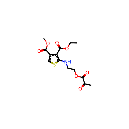 CCOC(=O)c1c(C(=O)OC)csc1NCCOC(=O)C(C)=O